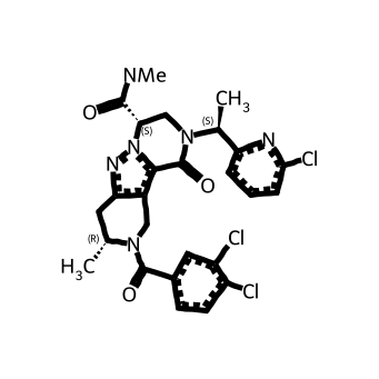 CNC(=O)[C@@H]1CN([C@@H](C)c2cccc(Cl)n2)C(=O)c2c3c(nn21)C[C@@H](C)N(C(=O)c1ccc(Cl)c(Cl)c1)C3